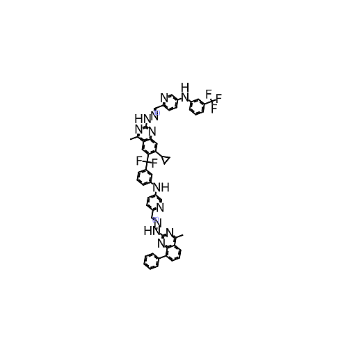 Cc1nc(N/N=C/c2ccc(Nc3cccc(C(F)(F)F)c3)cn2)nc2cc(C3CC3)c(C(F)(F)c3cccc(Nc4ccc(/C=N/Nc5nc(C)c6cccc(-c7ccccc7)c6n5)nc4)c3)cc12